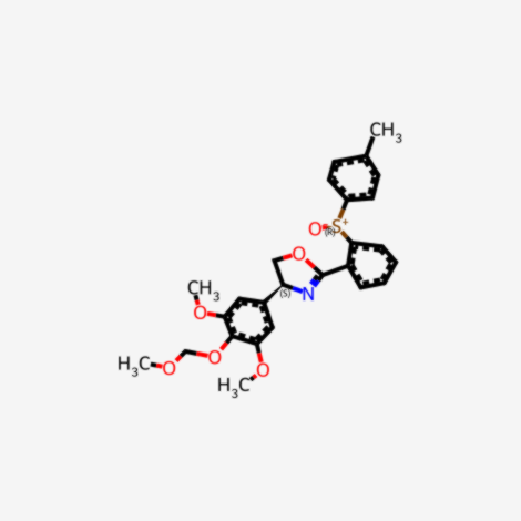 COCOc1c(OC)cc([C@H]2COC(c3ccccc3[S@@+]([O-])c3ccc(C)cc3)=N2)cc1OC